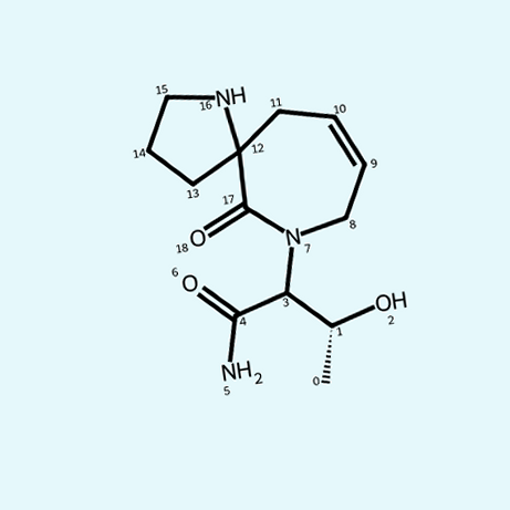 C[C@@H](O)C(C(N)=O)N1CC=CCC2(CCCN2)C1=O